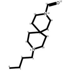 CCCCN1CCC2(CCN(C=O)CC2)CC1